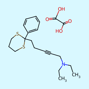 CCN(CC)CC#CCCC1(c2ccccc2)SCCCS1.O=C(O)C(=O)O